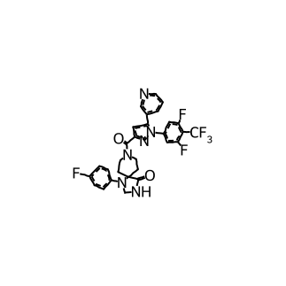 O=C(c1cc(-c2cccnc2)n(-c2cc(F)c(C(F)(F)F)c(F)c2)n1)N1CCC2(CC1)C(=O)NCN2c1ccc(F)cc1